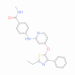 CCc1nc(-c2ccccc2)c(Oc2ccnc(Nc3ccc(C(=O)NC)cc3)c2)s1